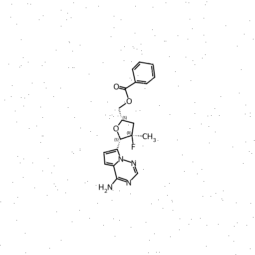 C[C@@]1(F)C[C@@H](COC(=O)c2ccccc2)O[C@H]1c1ccc2c(N)ncnn12